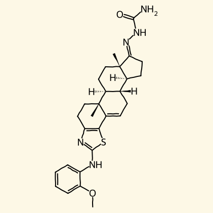 COc1ccccc1Nc1nc2c(s1)C1=CC[C@@H]3[C@H](CC[C@]4(C)/C(=N/NC(N)=O)CC[C@@H]34)[C@@]1(C)CC2